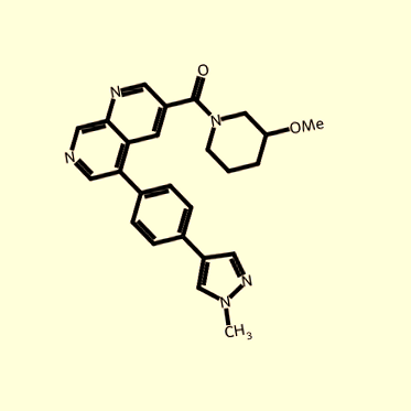 COC1CCCN(C(=O)c2cnc3cncc(-c4ccc(-c5cnn(C)c5)cc4)c3c2)C1